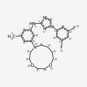 Cc1cc(Nc2ncn(-c3cc(F)cc(F)c3)n2)cc(N2CCCCOCCOCC2)c1